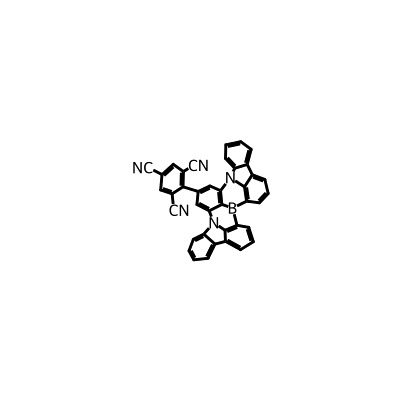 N#Cc1cc(C#N)c(-c2cc3c4c(c2)-n2c5ccccc5c5cccc(c52)B4c2cccc4c5ccccc5n-3c24)c(C#N)c1